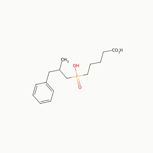 CC(Cc1ccccc1)CP(=O)(O)CCCCC(=O)O